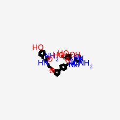 NC(=O)[C@H](Cc1ccc(O)cc1)NCCCOc1cccc(-c2ccc(CNc3nc4c(N)ncnc4n3[C@@H]3O[C@H](CO)[C@@H](O)[C@H]3O)cc2)c1